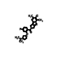 Cc1nc2c3c(nn2c(C)c1Cl)CN(C(=O)c1ccc(F)cc1O[C@H]1CC[C@H](N(C)C)C1)C3